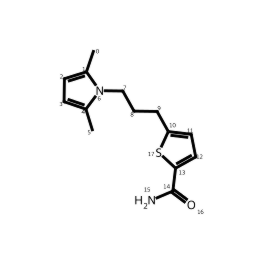 Cc1ccc(C)n1CCCc1ccc(C(N)=O)s1